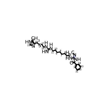 C/N=C(\NCCCCCCCCNC(=N)NCCSCc1nc[nH]c1C)NC(=O)c1ccccc1